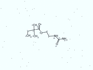 CCC(C)(C)C(=O)OCCNC(N)=O